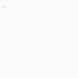 CCCC.O=C(O)CC(=O)OCCCCBr